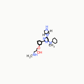 CNCC(O)COc1cccc(-c2nc(N(C)C3CCCCC3)cc(N3C[C@H]4C[C@@H]3CN4)n2)c1